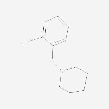 CC(C)c1ccccc1ON1CCCCC1